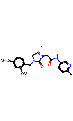 COc1ccc(CN2C[C@H](C(C)C)N(CC(=O)Nc3ccc(C)nc3)C2=O)c(OC)c1